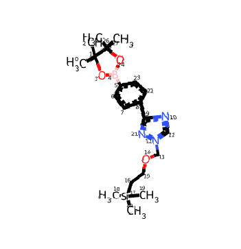 CC1(C)OB(c2ccc(-c3ncn(COCC[Si](C)(C)C)n3)cc2)OC1(C)C